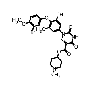 COc1ccc(Oc2c(C)cc(-n3nc(C(=O)OC4CCN(C)CC4)c(=O)[nH]c3=O)cc2C)cc1Br